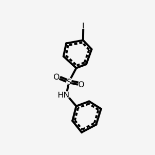 O=S(=O)(Nc1ccccc1)c1ccc(I)cc1